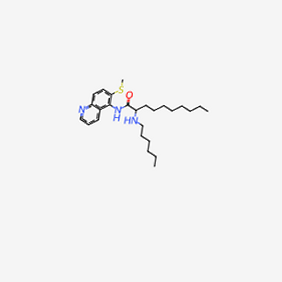 CCCCCCCCC(NCCCCCC)C(=O)Nc1c(SC)ccc2ncccc12